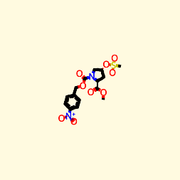 COC(=O)[C@@H]1C[C@@H](OS(C)(=O)=O)CN1C(=O)OCc1ccc([N+](=O)[O-])cc1